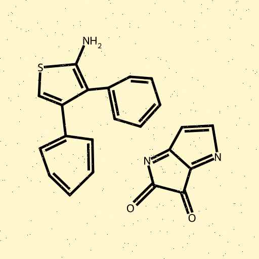 Nc1scc(-c2ccccc2)c1-c1ccccc1.O=c1nc2ccnc-2c1=O